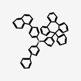 c1ccc(-c2ccc(N(c3ccc(-c4cccc5ccccc45)cc3)c3cccc(C4(c5ccccc5)c5ccccc5-c5ccccc5-c5ccccc54)c3)cc2)cc1